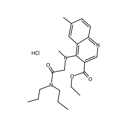 CCCN(CCC)C(=O)CN(C)c1c(C(=O)OCC)cnc2ccc(C)cc12.Cl